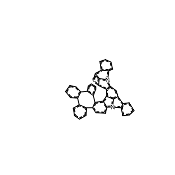 c1ccc2c(c1)-c1ccccc1-c1ccc3c(c1-c1ccccc1-2)c1c2c4cccc5c6ccccc6n(c2cc2c6ccccc6n3c21)c54